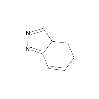 C1=CC2=[N+]N=CC2CC1